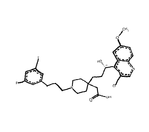 COc1ccc2ncc(Cl)c([C@@H](O)CCC3(CC(=O)O)CCN(CCCc4cc(F)cc(F)c4)CC3)c2c1